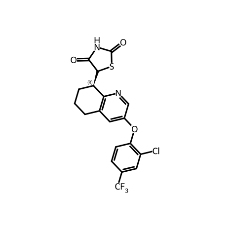 O=C1NC(=O)C([C@@H]2CCCc3cc(Oc4ccc(C(F)(F)F)cc4Cl)cnc32)S1